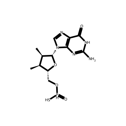 C[C@@H]1[C@H](C)[C@@H](CO[PH](=O)S)O[C@H]1n1cnc2c(=O)[nH]c(N)nc21